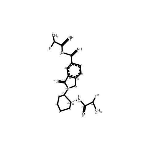 CC(F)C(=N)OC(=N)c1ccc2c(c1)C(=O)N(C1CCCC[C@H]1NC(=O)C(C)F)C2